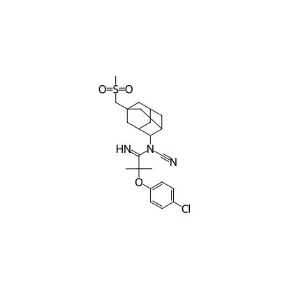 CC(C)(Oc1ccc(Cl)cc1)C(=N)N(C#N)C1C2CC3CC1CC(CS(C)(=O)=O)(C3)C2